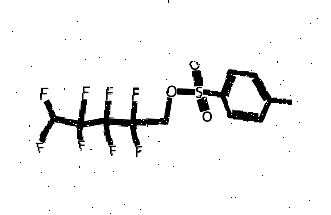 Cc1ccc(S(=O)(=O)OCC(F)(F)C(F)(F)C(F)(F)C(F)F)cc1